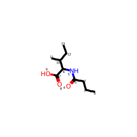 CCCC(=O)NC(C(=O)O)C(C)CC